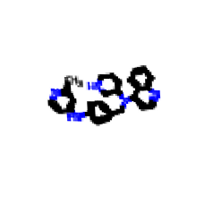 Cc1cc(Nc2ccc(CN(c3ccnc4ccccc34)C3CCCNC3)cc2)ccn1